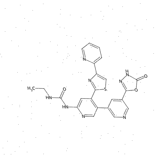 CCNC(=O)Nc1cc(-c2nc(-c3ccccn3)cs2)c(-c2cncc(-c3n[nH]c(=O)o3)c2)cn1